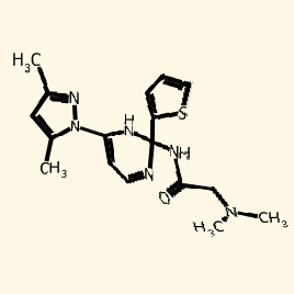 Cc1cc(C)n(C2=CC=NC(NC(=O)CN(C)C)(c3cccs3)N2)n1